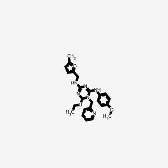 CCOC1N=C(NCc2ccc(C)o2)N=C(Nc2ccc(OC)cc2)N1Cc1ccccn1